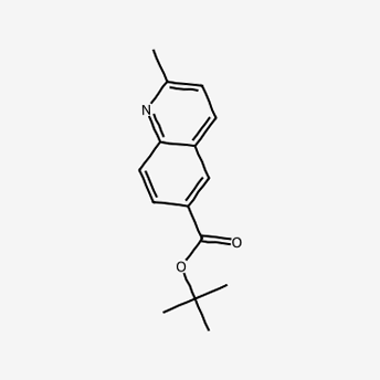 Cc1ccc2cc(C(=O)OC(C)(C)C)ccc2n1